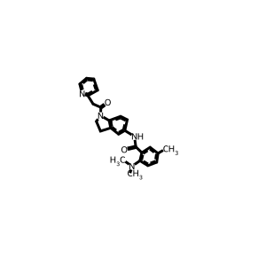 Cc1ccc(N(C)C)c(C(=O)Nc2ccc3c(c2)CCN3C(=O)Cc2ccccn2)c1